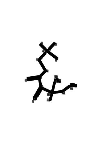 C=C(CC[N+](C)(C)C)C(=O)C(C)(CC(C)(C)C)C(C)(C)C